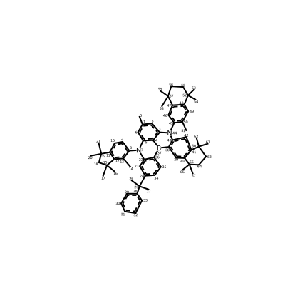 Cc1cc2c3c(c1)N(c1ccc4c(c1C)C(C)(C)CC4(C)C)c1cc(C(C)(C)c4ccccc4)ccc1B3c1cc3c(cc1N2c1cc2c(cc1C)C(C)(C)CCC2(C)C)C(C)(C)CCC3(C)C